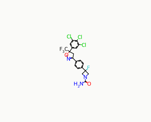 NC(=O)N1CC(F)(c2ccc(C3=NOC(c4cc(Cl)c(Cl)c(Cl)c4)(C(F)(F)F)C3)cc2)C1